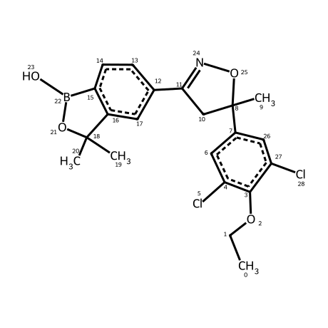 CCOc1c(Cl)cc(C2(C)CC(c3ccc4c(c3)C(C)(C)OB4O)=NO2)cc1Cl